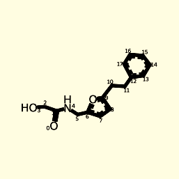 O=C(CO)NCc1ccc(CCc2ccccc2)o1